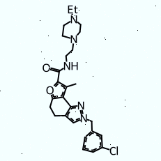 CCN1CCN(CCNC(=O)c2oc3c(c2C)-c2nn(Cc4cccc(Cl)c4)cc2CC3)CC1